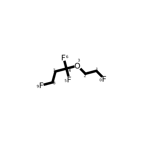 FCCOC(F)(F)CCF